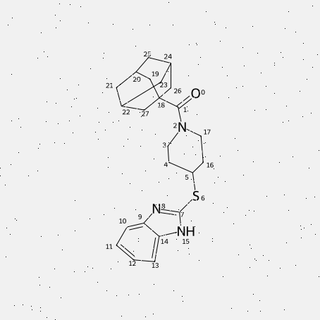 O=C(N1CCC(Sc2nc3ccccc3[nH]2)CC1)C12CC3CC(CC(C3)C1)C2